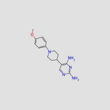 COc1ccc(N2CCC(c3cnc(N)nc3N)CC2)cc1